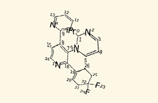 CC(C)C1N=CC=CN1c1c(-c2ccccn2)ccnc1C1=CCC(F)(F)CC1